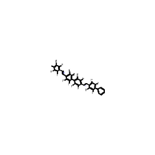 Cc1c(F)c(F)c(/C=C/c2c(F)c(F)c(-c3c(F)c(F)c(/C=C/c4c(F)c(F)c(-c5ccccc5)c(F)c4F)c(F)c3F)c(F)c2F)c(F)c1F